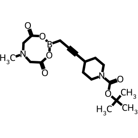 CN1CC(=O)OB(CC#CC2CCN(C(=O)OC(C)(C)C)CC2)OC(=O)C1